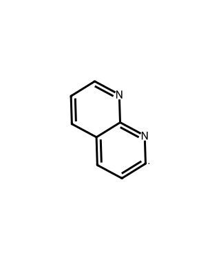 [c]1ccc2cccnc2n1